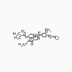 C=CCn1c(=O)c2cnc(Nc3ccc(N4CC(N5CCCC5)C4)c(OC)c3)nc2n1C(/C=C\C)=N/N(C=O)C(C)C